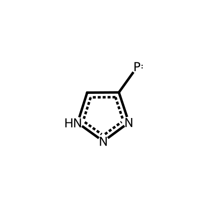 [P]c1c[nH]nn1